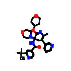 CC1=C(c2cccnc2)CC(NC(=O)c2ccnc(C(C)(C)C#N)c2)(N2CCOCC2)C(OC2CCOCC2)=N1